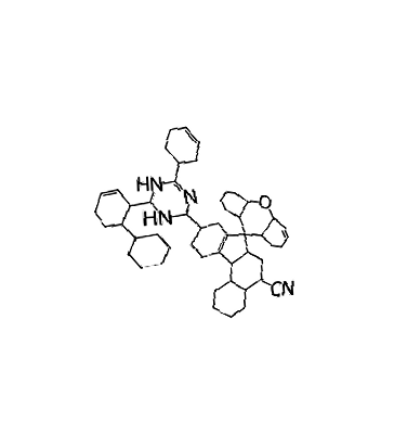 N#CC1CC2C(C3=C(CC(C4N=C(C5CC=CCC5)NC(C5C=CCCC5C5CCCCC5)N4)CC3)C23C2CCC=CC2OC2CCCCC23)C2CCCCC12